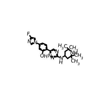 CC1(C)CC(Nc2ncc(-c3ccc(-n4cnc(F)c4)cc3O)nn2)CC(C)(C)N1